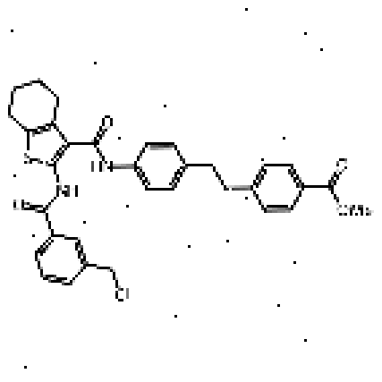 COC(=O)c1ccc(CCc2ccc(NC(=O)c3c(NC(=O)c4cccc(CCl)c4)sc4c3CCCC4)cc2)cc1